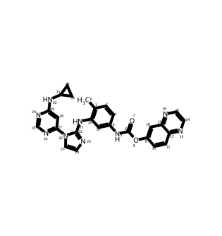 Cc1ccc(NC(=O)Oc2ccc3nccnc3c2)cc1Nc1nccn1-c1cc(NC2CC2)ncn1